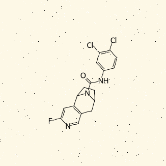 O=C(Nc1ccc(Cl)c(Cl)c1)N1C2CCC1c1cc(F)ncc1C2